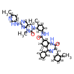 Cc1ccc(Nc2ncc3c(n2)N(C)C(=O)N(c2cc(NC(=O)c4ccc5c(c4)NC(=O)[C@H](Cc4ccccc4C)N=C5c4ccccc4)ccc2C)C3)cn1